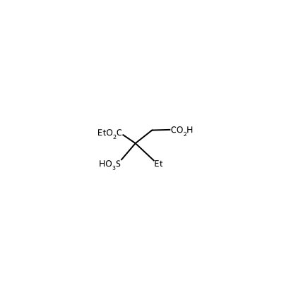 CCOC(=O)C(CC)(CC(=O)O)S(=O)(=O)O